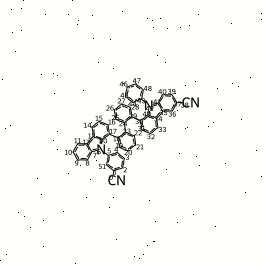 N#Cc1cccc(-n2c3ccccc3c3cccc(-c4ccccc4-c4ccccc4-c4cccc5c6cc(C#N)ccc6n(-c6ccccc6)c45)c32)c1